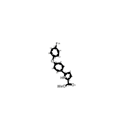 COC(=O)c1ccc(-c2ccc(Oc3ccc(F)cc3)cc2)[nH]1